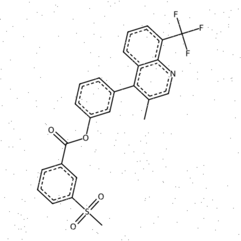 Cc1cnc2c(C(F)(F)F)cccc2c1-c1cccc(OC(=O)c2cccc(S(C)(=O)=O)c2)c1